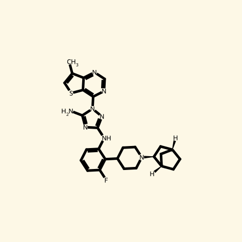 Cc1csc2c(-n3nc(Nc4cccc(F)c4C4CCN([C@H]5C[C@@H]6CC[C@H]5C6)CC4)nc3N)ncnc12